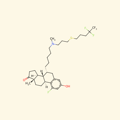 CN(CCCCC[C@@H]1Cc2cc(O)cc(F)c2[C@H]2CC[C@]3(C)C(=O)CC[C@H]3[C@H]12)CCCSCCCC(F)(F)C(F)(F)F